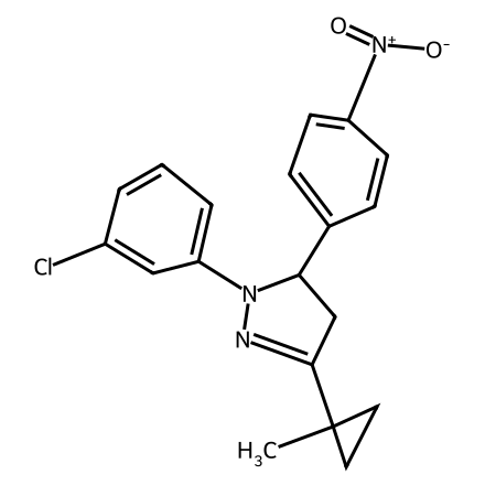 CC1(C2=NN(c3cccc(Cl)c3)C(c3ccc([N+](=O)[O-])cc3)C2)CC1